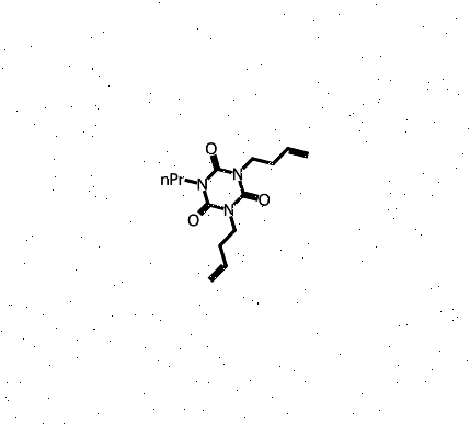 C=CCCn1c(=O)n(CCC)c(=O)n(CCC=C)c1=O